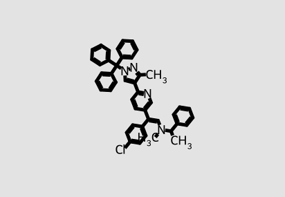 Cc1nn(C(c2ccccc2)(c2ccccc2)c2ccccc2)cc1-c1ccc(/C(=C/N(C)C(C)c2ccccc2)c2ccc(Cl)cc2)cn1